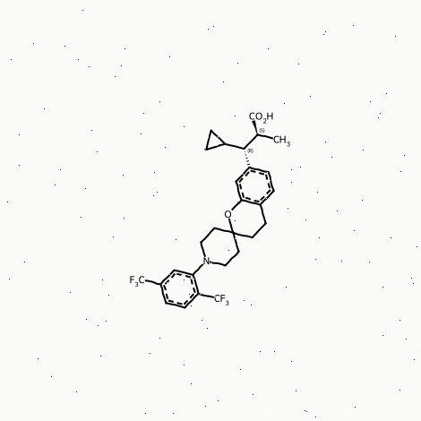 C[C@H](C(=O)O)[C@H](c1ccc2c(c1)OC1(CC2)CCN(c2cc(C(F)(F)F)ccc2C(F)(F)F)CC1)C1CC1